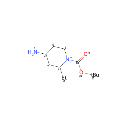 CCC1CC(N)CCN1C(=O)OC(C)(C)C